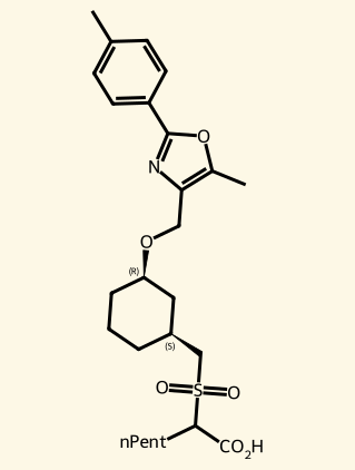 CCCCCC(C(=O)O)S(=O)(=O)C[C@H]1CCC[C@@H](OCc2nc(-c3ccc(C)cc3)oc2C)C1